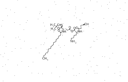 C#CCCC(=O)N[C@@H](CCCCN)C(=O)OC(=O)CC[C@H](NC(=O)CCCCCCCCCCCCCCC)C(=O)OC(C)(C)C